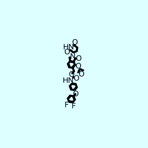 O=C1CCC(N2Cc3ccc(COC(=O)Nc4ccc(Oc5ccc(F)c(F)c5)cc4)c(OC4COC4)c3C2=O)C(=O)N1